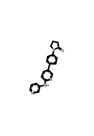 O=C1CCCN1c1ccc(-c2ccc(Nc3cccnc3)nc2)cc1